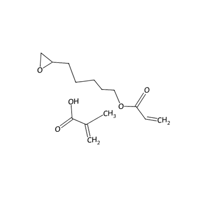 C=C(C)C(=O)O.C=CC(=O)OCCCCCC1CO1